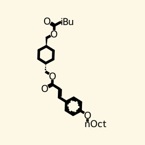 CCCCCCCCOc1ccc(/C=C/C(=O)OC[C@H]2CC[C@H](COC(=O)C(C)CC)CC2)cc1